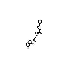 CN(CCCCNC(=O)c1ccc(-c2ccccc2)cc1)[C@@H]1COc2ccc(O)cc2C1=O